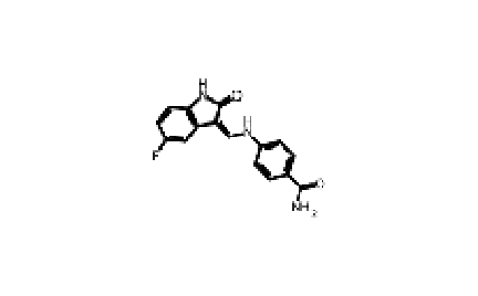 NC(=O)c1ccc(NC=C2C(=O)Nc3ccc(F)cc32)cc1